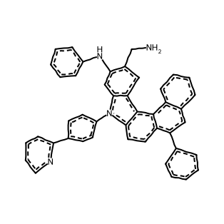 NCc1cc2c3c4c(ccc3n(-c3ccc(-c5ccccn5)cc3)c2cc1Nc1ccccc1)c(-c1ccccc1)cc1ccccc14